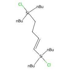 CCCC[Si](Cl)(/C=C/CC[Si](Cl)(CCCC)CCCC)CCCC